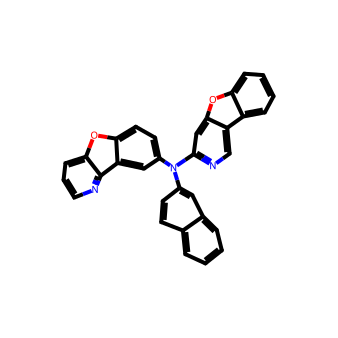 c1ccc2cc(N(c3ccc4oc5cccnc5c4c3)c3cc4oc5ccccc5c4cn3)ccc2c1